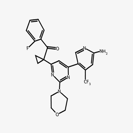 Nc1cc(C(F)(F)F)c(-c2cc(C3(C(=O)c4ccccc4F)CC3)nc(N3CCOCC3)n2)cn1